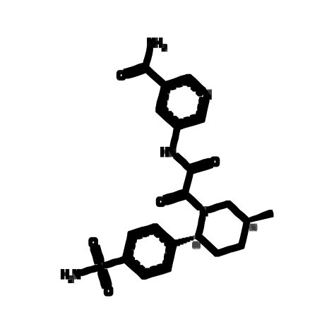 C[C@H]1CC[C@H](c2ccc(S(N)(=O)=O)cc2)N(C(=O)C(=O)Nc2cncc(C(N)=O)c2)C1